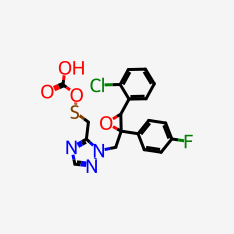 O=C(O)OSCc1ncnn1CC1(c2ccc(F)cc2)OC1c1ccccc1Cl